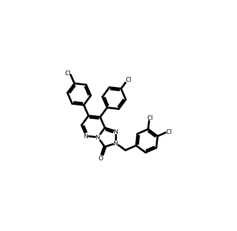 O=c1n(Cc2ccc(Cl)c(Cl)c2)nc2c(-c3ccc(Cl)cc3)c(-c3ccc(Cl)cc3)cnn12